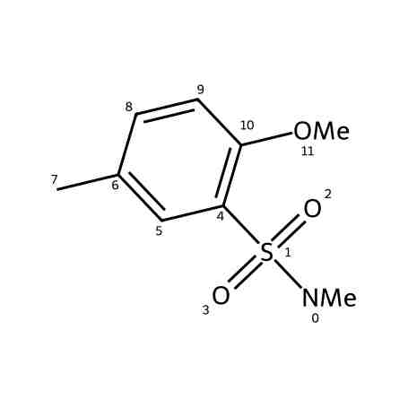 CNS(=O)(=O)c1cc(C)ccc1OC